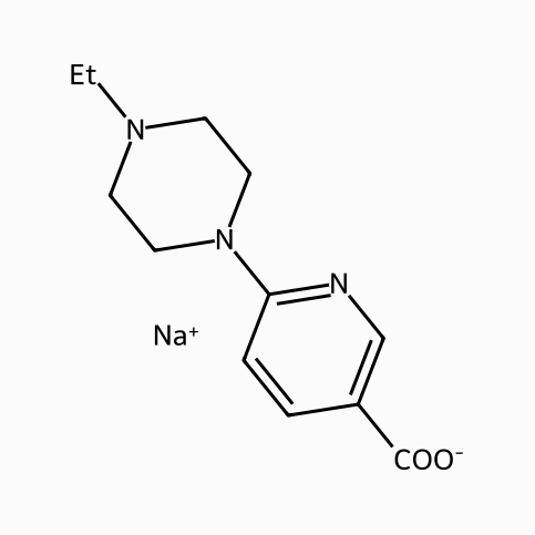 CCN1CCN(c2ccc(C(=O)[O-])cn2)CC1.[Na+]